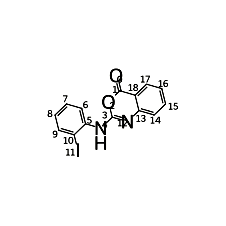 O=c1oc(Nc2ccccc2I)nc2ccccc12